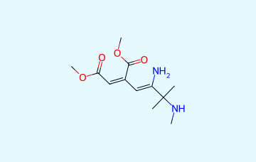 CNC(C)(C)/C(N)=C/C(=CC(=O)OC)C(=O)OC